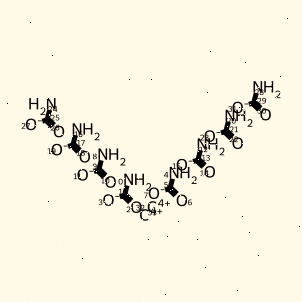 NC(=O)[O-].NC(=O)[O-].NC(=O)[O-].NC(=O)[O-].NC(=O)[O-].NC(=O)[O-].NC(=O)[O-].NC(=O)[O-].[C+4].[C+4]